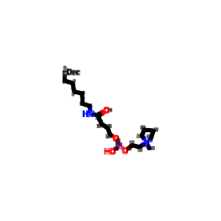 CCCCCCCCCCCCCCCCNC(=O)CCCOP(O)OCC[N+]1(C)CCCC1